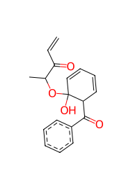 C=CC(=O)C(C)OC1(O)C=CC=CC1C(=O)c1ccccc1